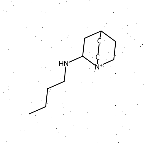 CCCCNC1CC2CC[N+]1CC2